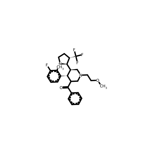 COCCN1CC(C(=O)c2ccccc2)[C@H](c2cccc(F)c2C)[C@@H]([C@H]2[N]CC[C@@H]2C(F)(F)F)C1